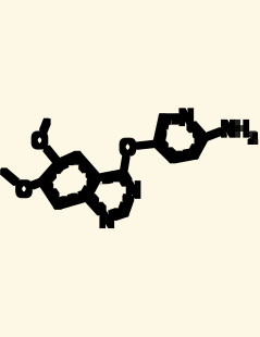 COc1cc2ncnc(Oc3ccc(N)nc3)c2cc1OC